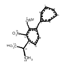 COc1c(-c2ccccc2)ccc(C(C)C(=O)O)c1[N+](=O)[O-]